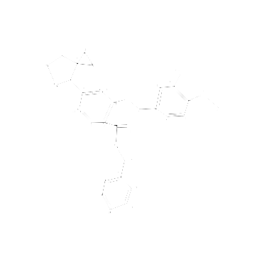 COc1ccc(COc2nc(C3NCCC34CC4)ncc2C(=O)NCc2ccccc2)cc1Cl